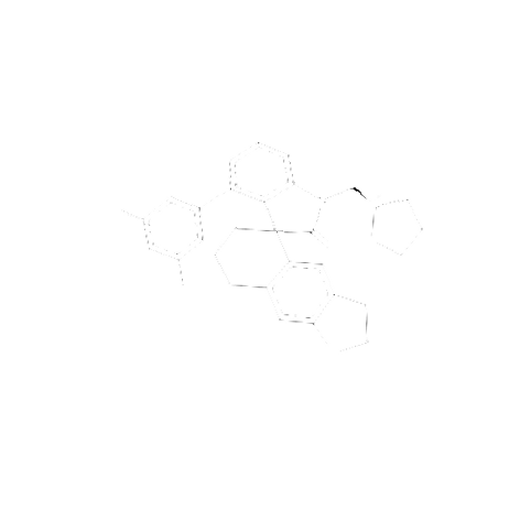 O=C1N(C[C@H]2CCCO2)c2cccc(-c3cc(C(F)(F)F)cc(C(F)(F)F)c3)c2C12CCCc1cc3c(cc12)CCO3